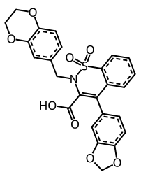 O=C(O)C1=C(c2ccc3c(c2)OCO3)c2ccccc2S(=O)(=O)N1Cc1ccc2c(c1)OCCO2